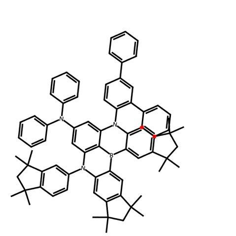 CC1(C)CC(C)(C)c2cc(N3c4cc5c(cc4B4c6cc7c(cc6N(c6ccc(-c8ccccc8)cc6-c6ccccc6)c6cc(N(c8ccccc8)c8ccccc8)cc3c64)C(C)(C)CC7(C)C)C(C)(C)CC5(C)C)ccc21